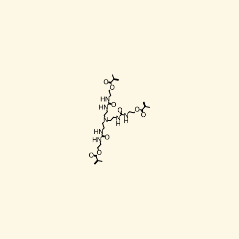 C=C(C)C(=O)OCCNC(=O)NCCN(CCNC(=O)NCCOC(=O)C(=C)C)CCNC(=O)NCCOC(=O)C(=C)C